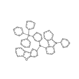 c1ccc(-n2c3ccccc3c3c(N(c4cccc([Si](c5ccccc5)(c5ccccc5)c5ccccc5)c4)c4ccc5oc6ccccc6c5c4)cccc32)cc1